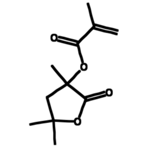 C=C(C)C(=O)OC1(C)CC(C)(C)OC1=O